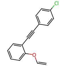 C=COc1ccccc1C#Cc1ccc(Cl)cc1